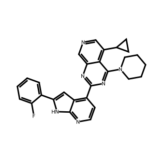 Fc1ccccc1-c1cc2c(-c3nc(N4CCCCC4)c4c(C5CC5)cncc4n3)ccnc2[nH]1